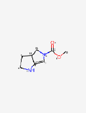 COC(=O)N1C=C2NCCC2C1